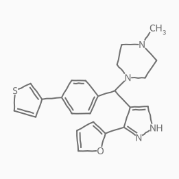 CN1CCN(C(c2ccc(-c3ccsc3)cc2)c2c[nH]nc2-c2ccco2)CC1